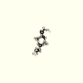 NC(=O)c1cc([C@@H]2C[C@@H]3COP(=O)(S)O[C@H]4C[C@H](n5cnc6c(N)ncnc65)O[C@@H]4COP(=O)(S)OC[C@H]32)ccn1